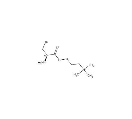 CC(=O)N[C@@H](CS)C(=O)OOCC[N+](C)(C)C